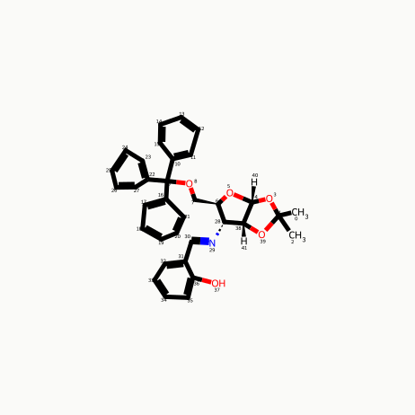 CC1(C)O[C@H]2O[C@H](COC(c3ccccc3)(c3ccccc3)c3ccccc3)[C@@H](N=Cc3ccccc3O)[C@H]2O1